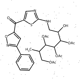 CC(=O)OCC(C)C(OC(C)=O)C(OC(C)=O)C(OC(C)=O)C(O)CNc1ncc(C(=O)c2cc(-c3ccccc3)no2)s1